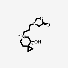 C[N@@+]1(CCCN2COC(=O)C2)CCC2(CC2)[C@H](O)C1